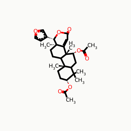 CC(=O)O[C@@H]1CC[C@@]2(C)C(C[C@@H](OC(C)=O)[C@@]3(C)C4=CC(=O)O[C@@H](c5ccoc5)[C@]4(C)CCC23)C1(C)C